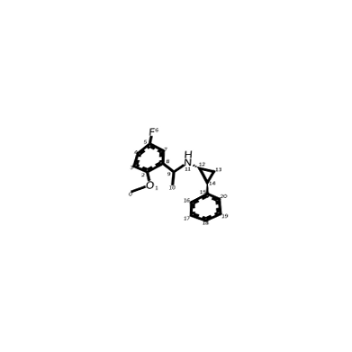 COc1ccc(F)cc1C(C)N[C@@H]1C[C@H]1c1ccccc1